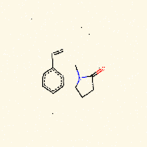 C=Cc1ccccc1.CN1CCCC1=O